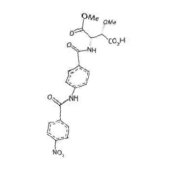 COC(=O)[C@@H](NC(=O)c1ccc(NC(=O)c2ccc([N+](=O)[O-])cc2)cc1)[C@H](OC)C(=O)O